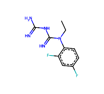 CCN(C(=N)NC(=N)N)c1ccc(F)cc1F